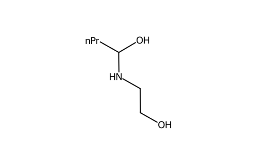 CCCC(O)NCCO